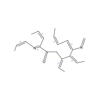 C=NC(=C/C=C\C)/C(=C\C)C(=C\C)/CC(=O)C(/C=C\C)=N/C=C\C